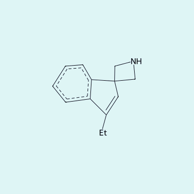 CCC1=CC2(CNC2)c2ccccc21